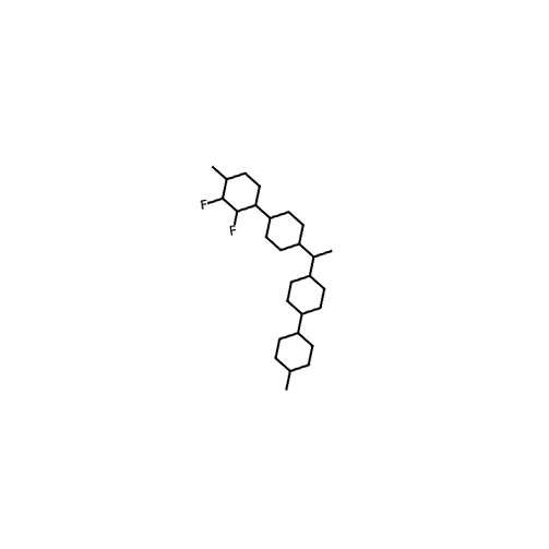 CC1CCC(C2CCC(C(C)C3CCC(C4CCC(C)C(F)C4F)CC3)CC2)CC1